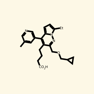 CCc1ccc2c(-c3cncc(C)c3)c(CCCC(=O)O)c(COCC3CC3)nn12